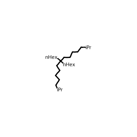 CCCCCCC(CCCCCC)(CCCCCC(C)C)CCCCCC(C)C